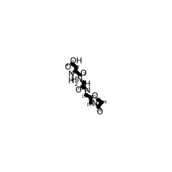 NC(CC(=O)O)C(=O)NCC(=O)NCC1CN2C(=O)CC2O1